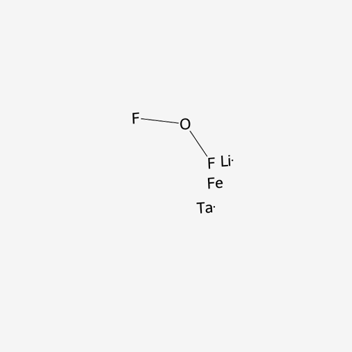 FOF.[Fe].[Li].[Ta]